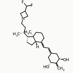 C=C1[C@H](O)CC(=C/C=C2\CCC[C@]3(C)[C@@H]([C@H](C)CCN4CC(C(F)F)C4)CC[C@@H]23)C[C@H]1O